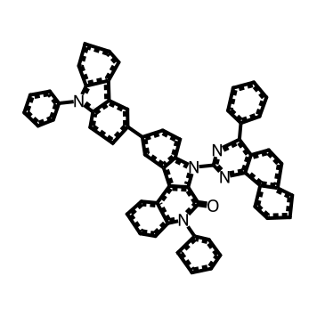 O=c1c2c(c3ccccc3n1-c1ccccc1)c1cc(-c3ccc4c(c3)c3ccccc3n4-c3ccccc3)ccc1n2-c1nc(-c2ccccc2)c2ccc3ccccc3c2n1